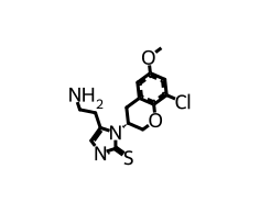 COc1cc(Cl)c2c(c1)C[C@@H](N1C(=S)[N]C=C1CCN)CO2